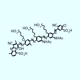 CC(=O)Nc1cc(N=Nc2cc(SCCCS(=O)(=O)O)c(N=Nc3cc(OCCCS(=O)(=O)O)c(N=Nc4c(C)c(C#N)c5nc6c(C)ccc(S(=O)(=O)O)c6n5c4O)cc3C)cc2NC(C)=O)c(SCCCS(=O)(=O)O)cc1N=Nc1cc(S(=O)(=O)O)c(Cl)cc1C#N